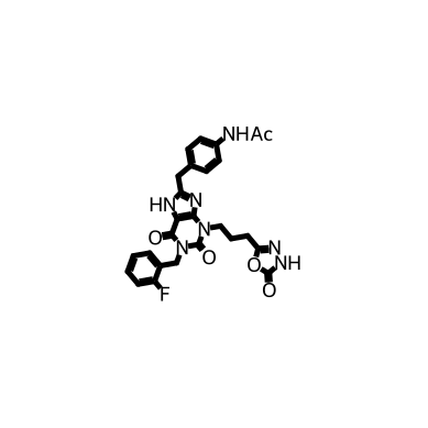 CC(=O)Nc1ccc(Cc2nc3c([nH]2)c(=O)n(Cc2ccccc2F)c(=O)n3CCCc2n[nH]c(=O)o2)cc1